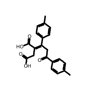 Cc1ccc(C(=O)CC(=C(CC(=O)O)C(=O)O)c2ccc(C)cc2)cc1